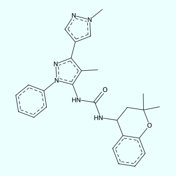 Cc1c(-c2cnn(C)c2)nn(-c2ccccc2)c1NC(=O)NC1CC(C)(C)Oc2ccccc21